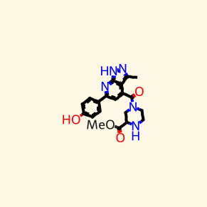 COC(=O)C1CN(C(=O)c2cc(-c3ccc(O)cc3)nc3[nH]nc(C)c23)CCN1